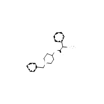 COC(C(=O)OC1CCN(Cc2ccccc2)CC1)c1ccccc1